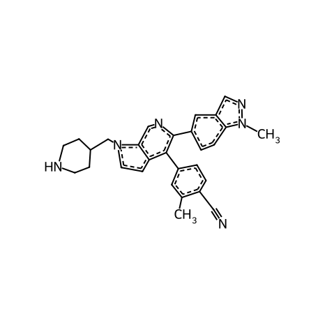 Cc1cc(-c2c(-c3ccc4c(cnn4C)c3)ncc3c2ccn3CC2CCNCC2)ccc1C#N